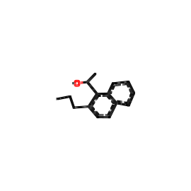 CCCc1ccc2ccccc2c1C(C)[O]